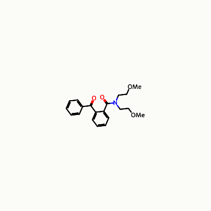 COCCN(CCOC)C(=O)c1ccccc1C(=O)c1ccccc1